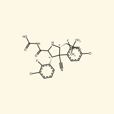 CC(C)(C)C[C@H]1NC(C(=O)NC(=O)O)[C@@H](c2cccc(Cl)c2F)C1(C#N)c1ccc(Cl)cc1F